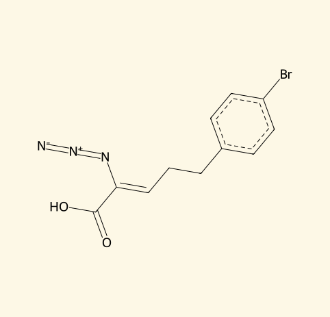 [N-]=[N+]=NC(=CCCc1ccc(Br)cc1)C(=O)O